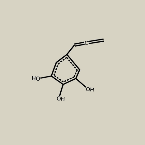 C=C=Cc1cc(O)c(O)c(O)c1